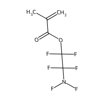 C=C(C)C(=O)OC(F)(F)C(F)(F)N(F)F